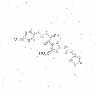 COc1ccc(CSCC(C)C(=O)N2CC(SCCC3OCCO3)C[C@H]2C(=O)O)cc1